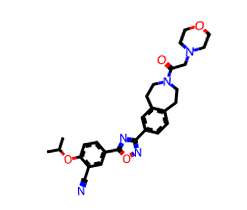 CC(C)Oc1ccc(-c2nc(-c3ccc4c(c3)CCN(C(=O)CN3CCOCC3)CC4)no2)cc1C#N